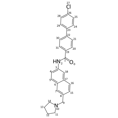 O=C(Nc1ccc2cc(CN3CCCC3)ccc2c1)c1ccc(-c2ccc(Cl)cc2)cc1